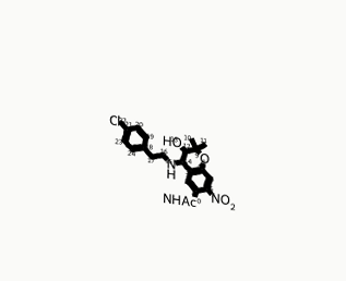 CC(=O)Nc1cc2c(cc1[N+](=O)[O-])OC(C)(C)C(O)C2NCCc1ccc(Cl)cc1